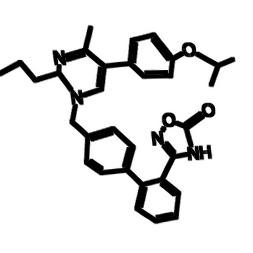 CCCC1N=C(C)C(c2ccc(OC(C)C)cc2)=CN1Cc1ccc(-c2ccccc2-c2noc(=O)[nH]2)cc1